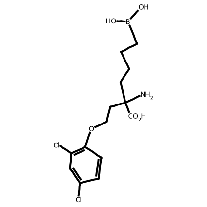 NC(CCCCB(O)O)(CCOc1ccc(Cl)cc1Cl)C(=O)O